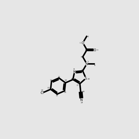 COC(=O)CN(C)c1nc(-c2ccc(Cl)cc2)c(C#N)s1